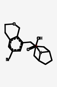 O=C(O)N1C2CCC1CN(Cc1cc(Br)cc3c1COCC3)C2